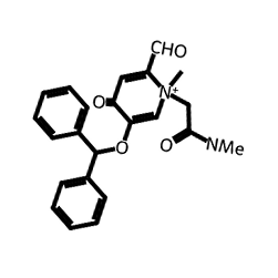 CNC(=O)C[N+]1(C)C=C(OC(c2ccccc2)c2ccccc2)C(=O)C=C1C=O